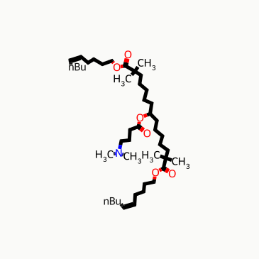 CCCC/C=C\CCCCOC(=O)C(C)(C)CCCCCC(CCCCCC(C)(C)C(=O)OCCCC/C=C\CCCC)OC(=O)CCCN(C)C